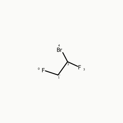 F[CH]C(F)Br